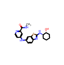 CNC(=O)c1cc(Nc2ccc3nc(N[C@@H]4CCCC[C@H]4O)sc3c2)ccn1